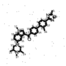 Cc1nc(-c2ccc(-c3ccc(C(=O)c4cn(C)c5ccc(N6CC(C)N(C)C(C)C6)cc45)cc3)c(C)c2)no1